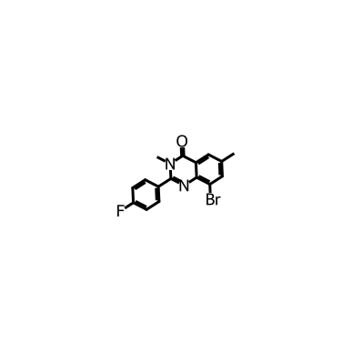 Cc1cc(Br)c2nc(-c3ccc(F)cc3)n(C)c(=O)c2c1